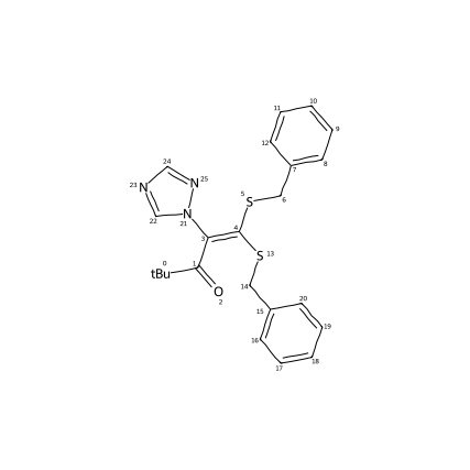 CC(C)(C)C(=O)C(=C(SCc1ccccc1)SCc1ccccc1)n1cncn1